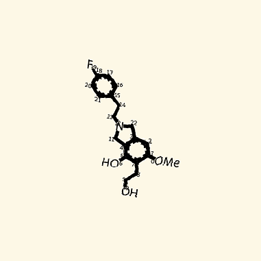 COc1cc2c(c(O)c1CCO)CN(CCc1ccc(F)cc1)C2